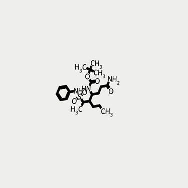 CCCC(C(CCC(N)=O)NC(=O)OC(C)(C)C)C(C)S(=O)(=O)Nc1ccccc1